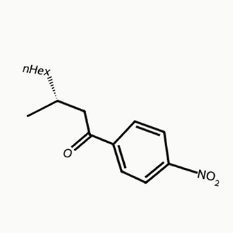 CCCCCC[C@@H](C)CC(=O)c1ccc([N+](=O)[O-])cc1